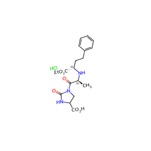 CCOC(=O)[C@H](CCc1ccccc1)N[C@@H](C)C(=O)N1CC(C(=O)O)NC1=O.Cl